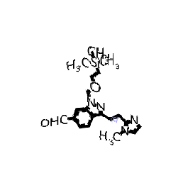 Cn1ccnc1/C=C/c1nn(COCC[Si](C)(C)C)c2cc(C=O)ccc12